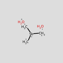 O.O.[CH3][Sb]([CH3])[CH3]